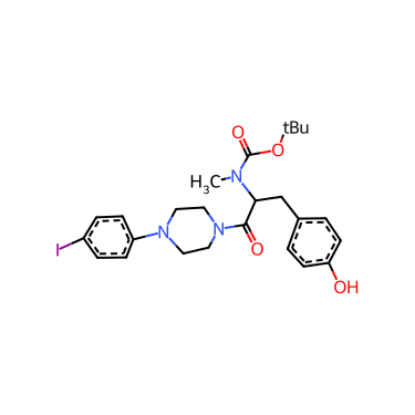 CN(C(=O)OC(C)(C)C)C(Cc1ccc(O)cc1)C(=O)N1CCN(c2ccc(I)cc2)CC1